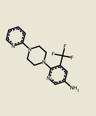 Nc1cnc(N2CCN(c3ccccn3)CC2)c(C(F)(F)F)c1